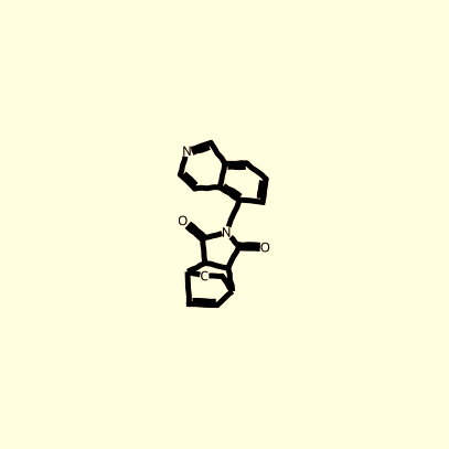 O=C1C2C3C=CC(CC3)C2C(=O)N1c1cccc2cnccc12